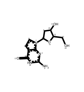 Nc1nc2c(ccn2C2CC(O)C(CO)O2)c(=O)[nH]1